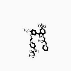 CS(=O)(=O)N1CCc2c(c(-c3ccc(C(F)(F)F)c(SCCN4CCC(NC(=O)CO)CC4)c3)nn2CC(O)CN2CCCCC2)C1